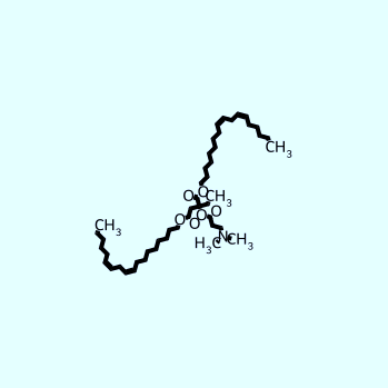 CCCCC/C=C\C/C=C\CCCCCCCCOC(=O)CC(CC)(OC(=O)CCN(C)C)C(=O)OCCCCCCCC/C=C\C/C=C\CCCCC